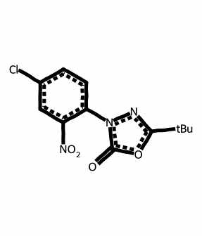 CC(C)(C)c1nn(-c2ccc(Cl)cc2[N+](=O)[O-])c(=O)o1